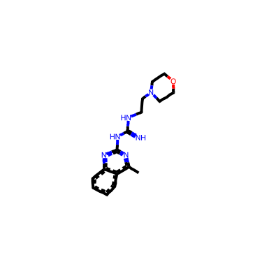 Cc1nc(NC(=N)NCCN2CCOCC2)nc2ccccc12